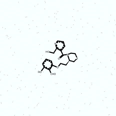 O=Cc1c(O)cccc1OCC[C@@H]1CSCCN1C(=O)c1cccnc1CO